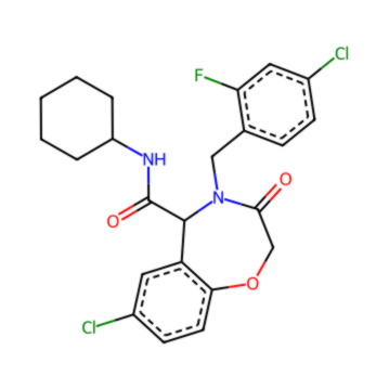 O=C(NC1CCCCC1)C1c2cc(Cl)ccc2OCC(=O)N1Cc1ccc(Cl)cc1F